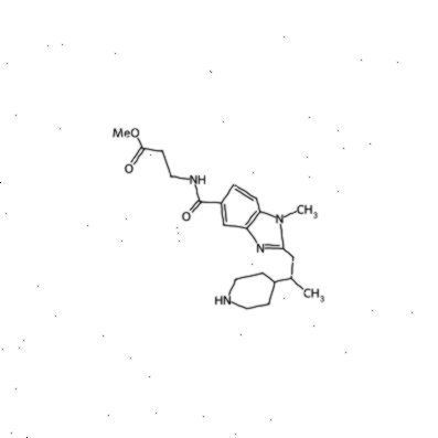 COC(=O)CCNC(=O)c1ccc2c(c1)nc(CC(C)C1CCNCC1)n2C